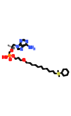 C[C@H](Cn1cnc2c(N)ncnc21)OCP(=O)(O)OCCCOCCCCCCCCCCCS(C)(C)C1CCCCC1